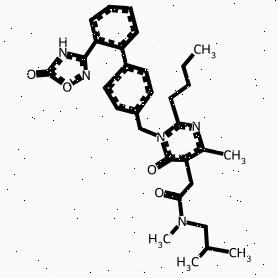 CCCCc1nc(C)c(CC(=O)N(C)CC(C)C)c(=O)n1Cc1ccc(-c2ccccc2-c2noc(=O)[nH]2)cc1